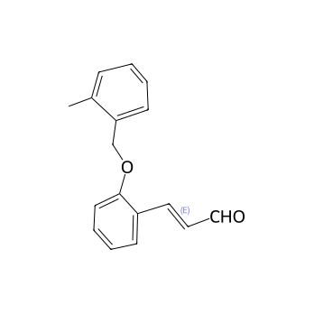 Cc1ccccc1COc1ccccc1/C=C/C=O